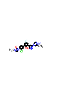 CC1=CN(c2cc(-c3cc(F)cc(-c4ccc(-n5ccn(C)c5=O)c(Cl)c4)c3O)cnn2)CCN1